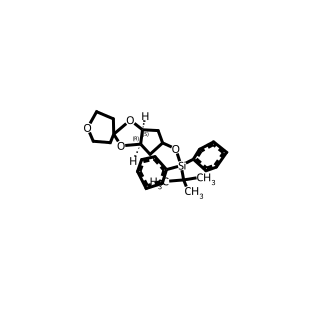 CC(C)(C)[Si](OC1C[C@@H]2OC3(CCOCC3)O[C@@H]2C1)(c1ccccc1)c1ccccc1